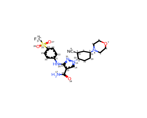 N#C[C@H]1C[C@@H](N2CCOCC2)CC[C@@H]1n1cc(C(N)=O)c(Nc2ccc(S(=O)(=O)C(F)(F)F)cc2)n1